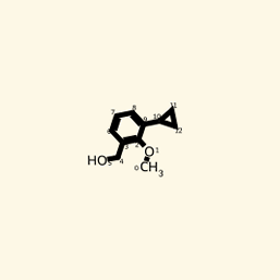 COc1c(CO)cccc1C1CC1